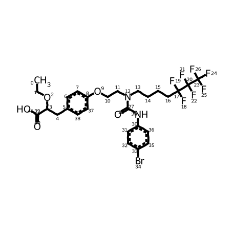 CCOC(Cc1ccc(OCCN(CCCCC(F)(F)C(F)(F)C(F)(F)F)C(=O)Nc2ccc(Br)cc2)cc1)C(=O)O